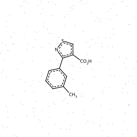 Cc1cccc(-c2nscc2C(=O)O)c1